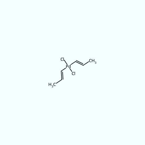 CC=[CH][Pd]([Cl])([Cl])[CH]=CC